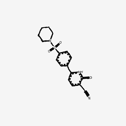 N#Cc1ccc(-c2ccc(S(=O)(=O)N3CCCCC3)cc2)[nH]c1=O